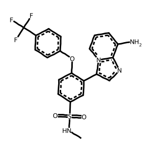 CNS(=O)(=O)c1ccc(Oc2ccc(C(F)(F)F)cc2)c(-c2cnc3c(N)cccn23)c1